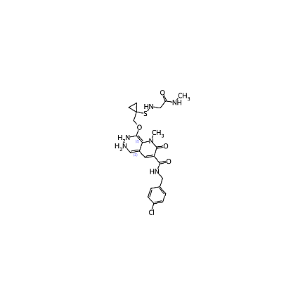 CNC(=O)CNSC1(CO/C(N)=c2/c(=C\N)cc(C(=O)NCc3ccc(Cl)cc3)c(=O)n2C)CC1